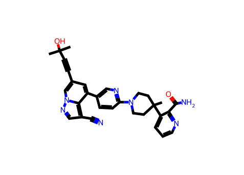 CC(C)(O)C#Cc1cc(-c2ccc(N3CCC(C)(c4cccnc4C(N)=O)CC3)nc2)c2c(C#N)cnn2c1